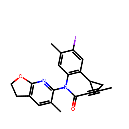 CC#CC(=O)N(c1cc(C)c(I)cc1C1CC1)c1nc2c(cc1C)CCO2